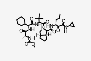 CCC[C@H](NC(=O)C1[C@H]2CCC[C@H]2CN1C(=O)[C@@H](NC(=O)[C@@H](NC(=O)[C@@H](C)NC(=O)OC)C1CCCCC1)C(C)(C)C)C(=O)C(=O)NC1CC1